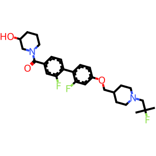 CC(C)(F)CN1CCC(COc2ccc(-c3ccc(C(=O)N4CCCC(O)C4)cc3F)c(F)c2)CC1